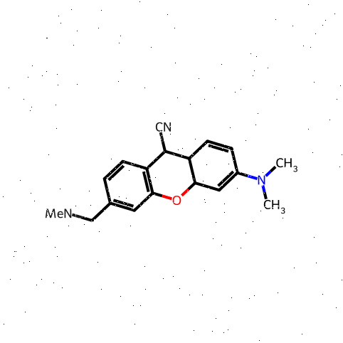 CNCc1ccc2c(c1)OC1C=C(N(C)C)C=CC1C2C#N